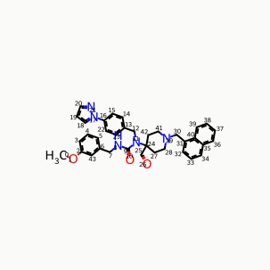 COc1cccc(CNC(=O)N(Cc2ccc(-n3cccn3)cc2)C2(C=O)CCN(Cc3cccc4ccccc34)CC2)c1